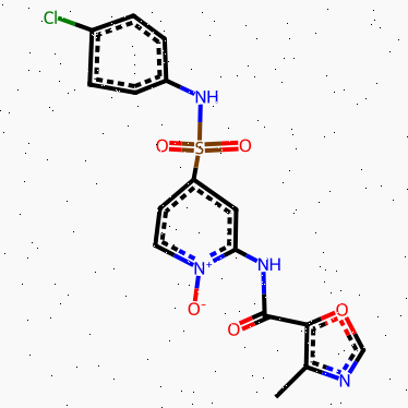 Cc1ncoc1C(=O)Nc1cc(S(=O)(=O)Nc2ccc(Cl)cc2)cc[n+]1[O-]